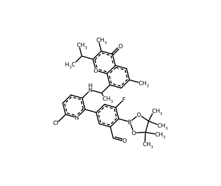 Cc1cc(C(C)Nc2ccc(Cl)nc2-c2cc(F)c(B3OC(C)(C)C(C)(C)O3)c(C=O)c2)c2oc(C(C)C)c(C)c(=O)c2c1